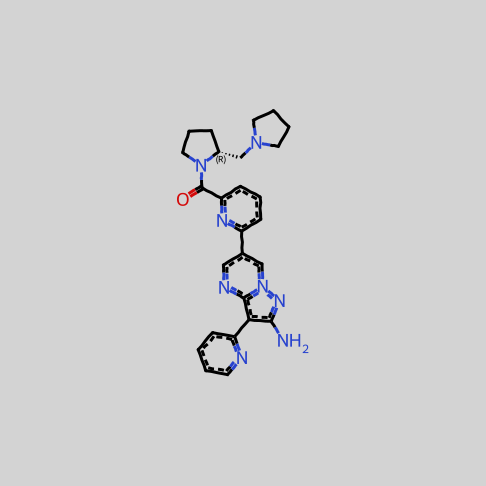 Nc1nn2cc(-c3cccc(C(=O)N4CCC[C@@H]4CN4CCCC4)n3)cnc2c1-c1ccccn1